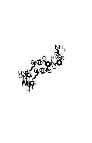 NC/C=C(\F)CS(=O)(=O)c1cccc(C(=O)Nc2cc(C(=O)N3CCN(C(=O)CCCC[C@@H]4SC[C@@H]5NC(=O)N[C@@H]54)CC3)cc(C(=O)N3CCN(C(=O)CCCC[C@@H]4SC[C@@H]5NC(=O)N[C@@H]54)CC3)c2)c1